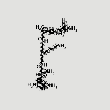 COC(=O)C(CCC(=O)NCCCCCN(CCCCCNC(=O)CCC(NC(=O)c1ccc(N(C)Cc2cnc3nc(N)nc(N)c3n2)cc1)C(=O)OC)CCOCCOCCN)NC(=O)c1ccc(N(C)Cc2cnc3nc(N)nc(N)c3n2)cc1